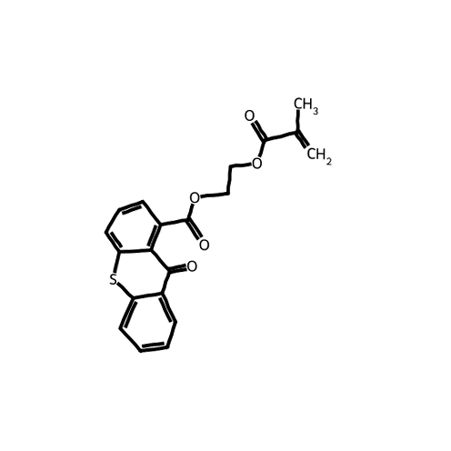 C=C(C)C(=O)OCCOC(=O)c1cccc2sc3ccccc3c(=O)c12